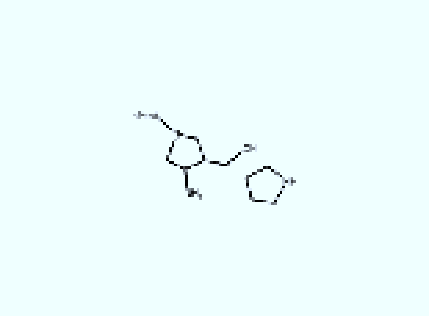 C1CCNC1.CCCCCN1CC(N)C(CO)C1